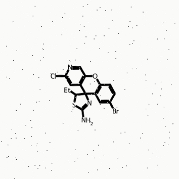 CCC1SC(N)=NC12c1cc(Br)ccc1Oc1cnc(Cl)cc12